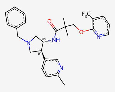 Cc1ccc([C@H]2CN(Cc3ccccc3)C[C@@H]2NC(=O)C(C)(C)COc2ncccc2C(F)(F)F)cn1